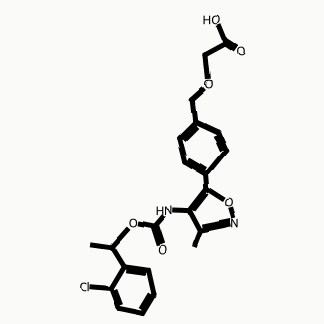 Cc1noc(-c2ccc(COCC(=O)O)cc2)c1NC(=O)OC(C)c1ccccc1Cl